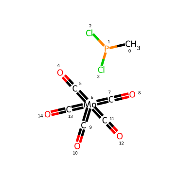 CP(Cl)Cl.O=[C]=[Mo](=[C]=O)(=[C]=O)(=[C]=O)=[C]=O